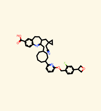 N#CCC1(CC2CCc3cc(C(=O)O)ccc3N=C2CC2CCCCC(c3cccc(OCc4ccc(C5COC5)cc4F)n3)CC2)CC1